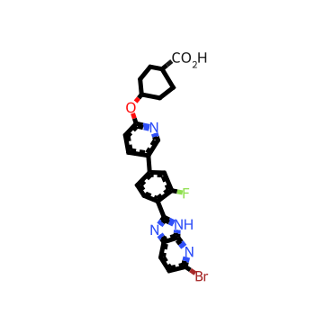 O=C(O)C1CCC(Oc2ccc(-c3ccc(-c4nc5ccc(Br)nc5[nH]4)c(F)c3)cn2)CC1